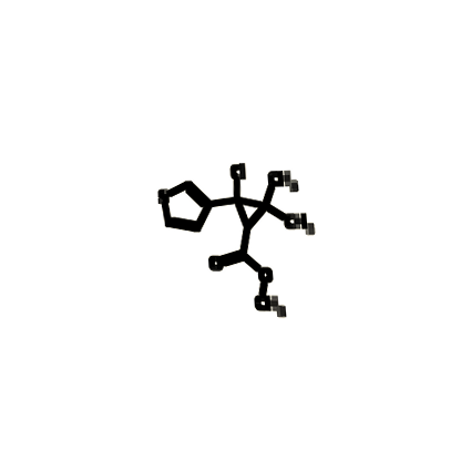 COC(=O)C1C(C)(C)C1(Cl)c1ccsc1